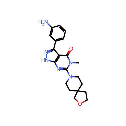 Cn1c(N2CCC3(CCOC3)CC2)nc2[nH]nc(-c3cccc(N)c3)c2c1=O